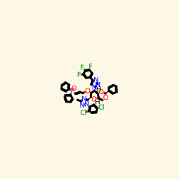 Cc1nc([C@@H]2O[C@@H]3CO[C@H](c4ccccc4)O[C@@H]3[C@H](n3cc(-c4cc(F)c(F)c(F)c4)nn3)[C@H]2OC/C=C/P(=O)(c2ccccc2)c2ccccc2)n(-c2cc(Cl)ccc2Cl)n1